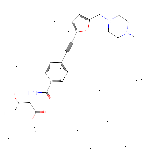 COC(=O)[C@@H](NC(=O)c1ccc(C#Cc2ccc(CN3CCN(C)CC3)o2)cc1)[C@@H](C)O